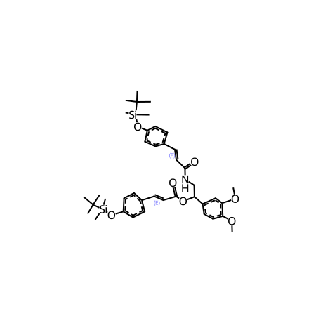 COc1ccc(C(CNC(=O)/C=C/c2ccc(O[Si](C)(C)C(C)(C)C)cc2)OC(=O)/C=C/c2ccc(O[Si](C)(C)C(C)(C)C)cc2)cc1OC